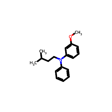 COc1cccc(N(CCC(C)C)c2ccccc2)c1